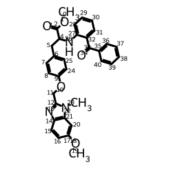 COC(=O)C(Cc1ccc(OCc2nc3ccc(OC)cc3n2C)cc1)Nc1ccccc1C(=O)c1ccccc1